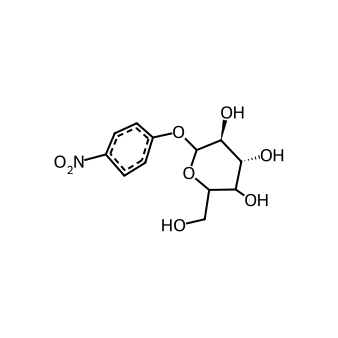 O=[N+]([O-])c1ccc(OC2OC(CO)C(O)[C@@H](O)[C@@H]2O)cc1